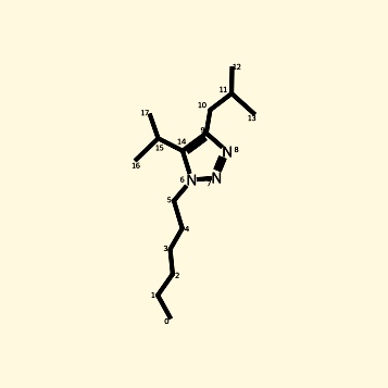 CCCCCCn1nnc(CC(C)C)c1C(C)C